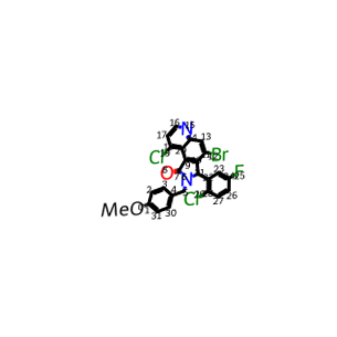 COc1ccc(CN2C(=O)c3c(c(Br)cc4nccc(Cl)c34)C2c2cc(F)ccc2Cl)cc1